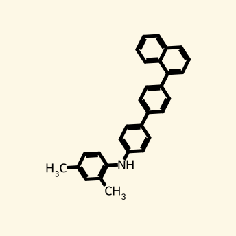 Cc1ccc(Nc2ccc(-c3ccc(-c4cccc5ccccc45)cc3)cc2)c(C)c1